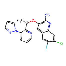 C[C@H](Oc1cc2cc(F)c(Cl)cc2nc1N)c1ncccc1-n1cccn1